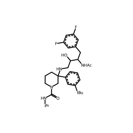 CC(=O)NC(Cc1cc(F)cc(F)c1)C(O)CNC1(c2cccc(C(C)(C)C)c2)CCCN(C(=O)NC(C)C)C1